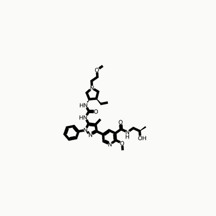 CC[C@@H]1CN(CCOC)C[C@H]1NC(=O)Nc1c(C)c(-c2cnc(OC)c(C(=O)NC[C@@H](C)O)c2)nn1-c1ccccc1